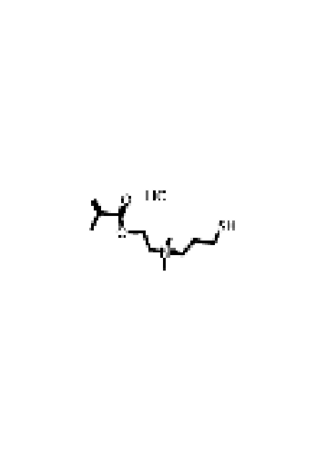 C=C(C)C(=O)OCC[N+](C)(C)CCCS.[OH-]